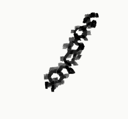 CCCCOC(=O)N1CCN(c2ccc3c(n2)CCN(C(=O)CC2CCC(F)(F)CC2)C3)CC1